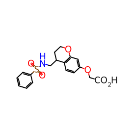 O=C(O)COc1ccc2c(c1)OCCC2CNS(=O)(=O)c1ccccc1